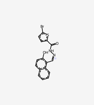 O=C(N/N=C\c1c(O)ccc2ccccc12)c1ccc(Br)s1